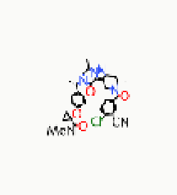 CNC(=O)C1(Oc2ccc([C@H](C)N3C[C@@H](C)n4nc5c(c4C3=O)CN(C(=O)c3ccc(Cl)c(C#N)c3)[C@H](C)C5)cc2)CC1